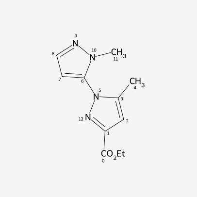 CCOC(=O)c1cc(C)n(-c2ccnn2C)n1